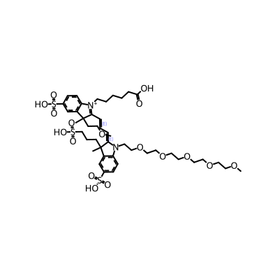 COCCOCCOCCOCCOCCN1/C(=C/C=C/C2=[N+](CCCCCC(=O)O)c3ccc(S(=O)(=O)O)cc3C2(C)CCOC)C(C)(CCCS(=O)(=O)O)c2cc(S(=O)(=O)O)ccc21